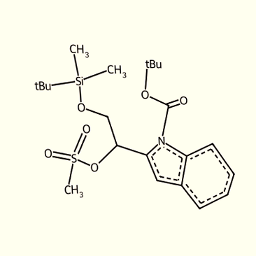 CC(C)(C)OC(=O)n1c(C(CO[Si](C)(C)C(C)(C)C)OS(C)(=O)=O)cc2ccccc21